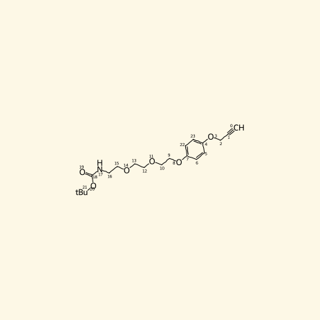 C#CCOc1ccc(OCCOCCOCCNC(=O)OC(C)(C)C)cc1